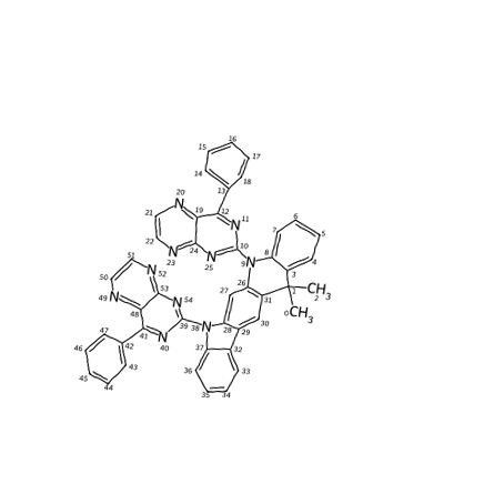 CC1(C)c2ccccc2N(c2nc(-c3ccccc3)c3nccnc3n2)c2cc3c(cc21)c1ccccc1n3-c1nc(-c2ccccc2)c2nccnc2n1